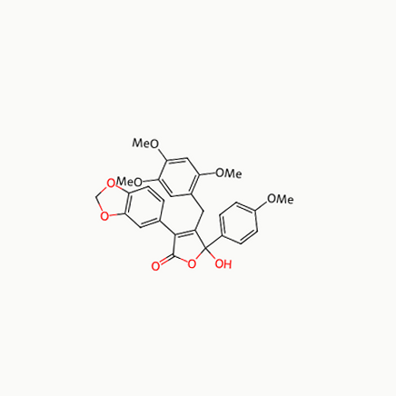 COc1ccc(C2(O)OC(=O)C(c3ccc4c(c3)OCO4)=C2Cc2cc(OC)c(OC)cc2OC)cc1